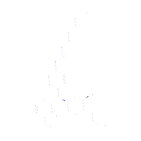 C=CCN1C[C@H](C)N([C@H](c2ccc(C(=O)NCCCCCO)cc2)c2cccc(O)c2)C[C@H]1C